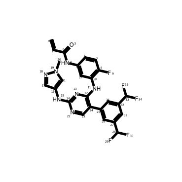 C=CC(=O)Nc1ccc(F)c(Nc2nc(Nc3cnn(C)c3)ncc2-c2cc(C(F)F)cc(C(F)F)c2)c1